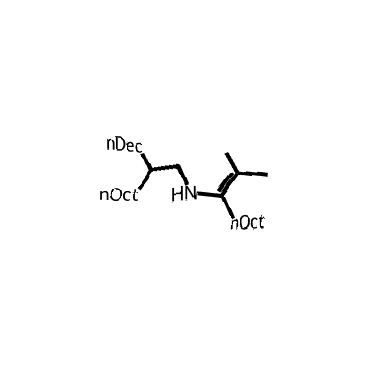 CCCCCCCCCCC(CCCCCCCC)CNC(CCCCCCCC)=C(C)C